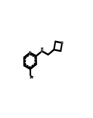 CC(C)c1ccnc(NCC2COC2)c1